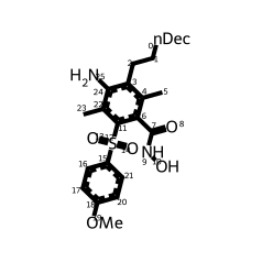 CCCCCCCCCCCCc1c(C)c(C(=O)NO)c(S(=O)(=O)c2ccc(OC)cc2)c(C)c1N